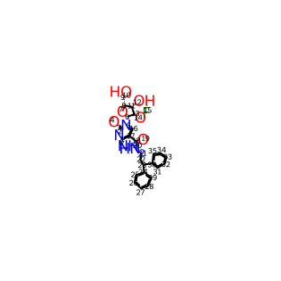 Nc1nc(=O)n([C@@H]2O[C@H](CO)[C@H](O)[C@H]2OF)cc1C(=O)NCCC(c1ccccc1)c1ccccc1